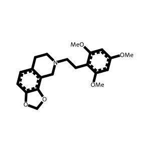 COc1cc(OC)c(CCN2CCc3ccc4c(c3C2)OCO4)c(OC)c1